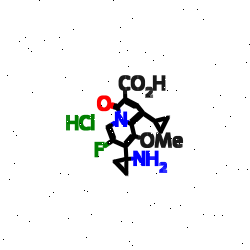 COc1c(C2(N)CC2)c(F)cn2c(=O)c(C(=O)O)cc(C3CC3)c12.Cl